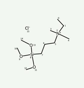 CC[N+](C)(C)CCC[Si](OC)(OC)OC.[Cl-]